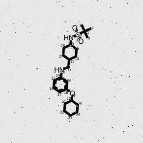 CC(C)(C)S(=O)(=O)NC1CCC(CNc2cccc(OC3CCCCC3)c2)CC1